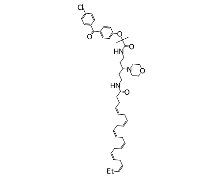 CC/C=C\C/C=C\C/C=C\C/C=C\C/C=C\C/C=C\CCC(=O)NCCC(CCNC(=O)C(C)(C)Oc1ccc(C(=O)c2ccc(Cl)cc2)cc1)N1CCOCC1